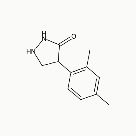 Cc1ccc(C2CNNC2=O)c(C)c1